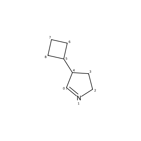 [C]1=NCCC1C1CCC1